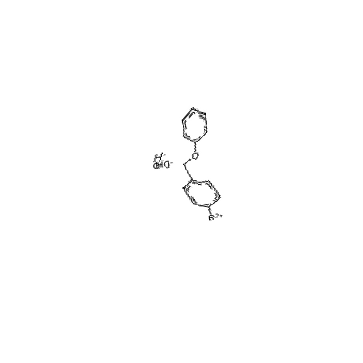 [B+2]c1ccc(COc2ccccc2)cc1.[OH-].[OH-]